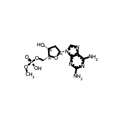 COP(=O)(O)OC[C@H]1O[C@@H](n2cnc3c(N)nc(N)nc32)C[C@H]1O